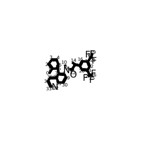 Cc1ccccc1-c1c(N(C)C(=O)C(C)c2cc(C(F)(F)F)cc(C(F)(F)F)c2)ccc2ncccc12